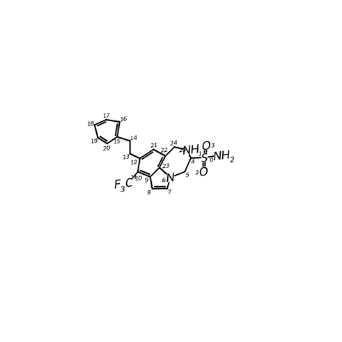 NS(=O)(=O)C1Cn2ccc3c(C(F)(F)F)c(CCc4ccccc4)cc(c32)CN1